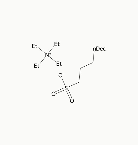 CCCCCCCCCCCCCS(=O)(=O)[O-].CC[N+](CC)(CC)CC